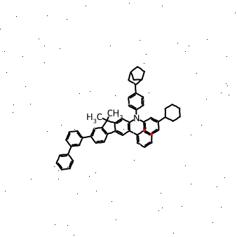 CC1(C)c2cc(-c3cccc(-c4ccccc4)c3)ccc2-c2cc(-c3ccccc3)c(N(c3ccc(C4CC5CCC4C5)cc3)c3cccc(C4CCCCC4)c3)cc21